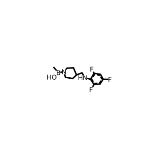 CB(O)N1CCC(CNc2c(F)cc(F)cc2F)CC1